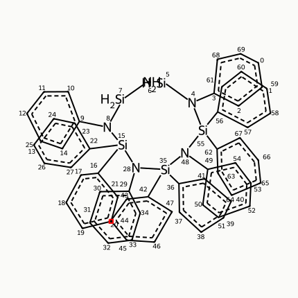 c1ccc(N2[SiH2]N[SiH2]N(c3ccccc3)[Si](c3ccccc3)(c3ccccc3)N(c3ccccc3)[Si](c3ccccc3)(c3ccccc3)N(c3ccccc3)[Si]2(c2ccccc2)c2ccccc2)cc1